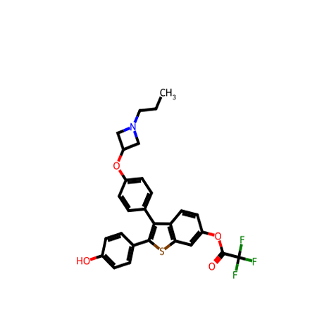 CCCN1CC(Oc2ccc(-c3c(-c4ccc(O)cc4)sc4cc(OC(=O)C(F)(F)F)ccc34)cc2)C1